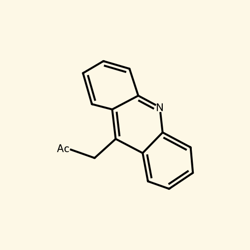 CC(=O)Cc1c2ccccc2nc2ccccc12